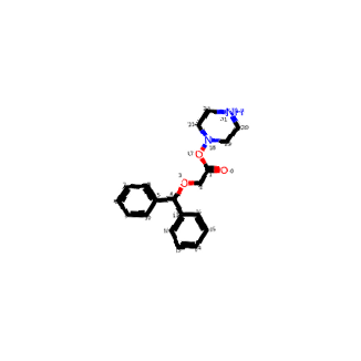 O=C(COC(c1ccccc1)c1ccccc1)ON1CCNCC1